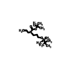 C=CCN(CCCO[Si](C)(C)C(C)(C)C)C(=O)OC(C)(C)C